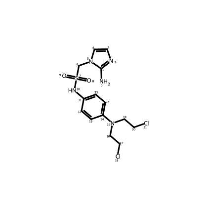 Nc1nccn1CS(=O)(=O)Nc1ccc(N(CCCl)CCCl)cc1